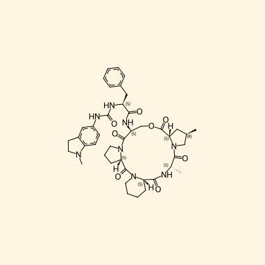 C[C@@H]1C[C@H]2C(=O)OC[C@H](NC(=O)[C@H](Cc3ccccc3)NC(=O)Nc3ccc4c(c3)CCN4C)C(=O)N3CCC[C@H]3C(=O)N3CCCC[C@H]3C(=O)N[C@@H](C)C(=O)N2C1